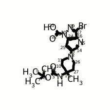 CC1(NC(=O)OC(C)(C)C)CCN(c2cnc3c(Br)nn(C(=O)O)c3c2)CC1